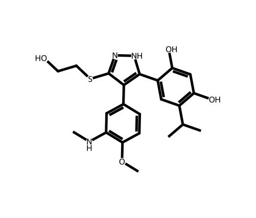 CNc1cc(-c2c(SCCO)n[nH]c2-c2cc(C(C)C)c(O)cc2O)ccc1OC